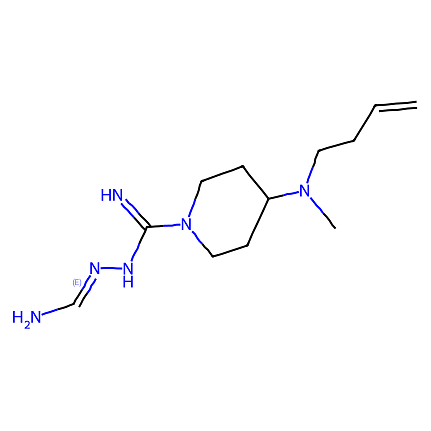 C=CCCN(C)C1CCN(C(=N)N/N=C/N)CC1